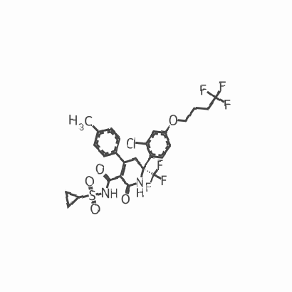 Cc1ccc(C2=C(C(=O)NS(=O)(=O)C3CC3)C(=O)N[C@@](c3ccc(OCCCC(F)(F)F)cc3Cl)(C(F)(F)F)C2)cc1